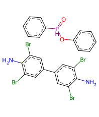 Nc1c(Br)cc(-c2cc(Br)c(N)c(Br)c2)cc1Br.O=[PH](Oc1ccccc1)c1ccccc1